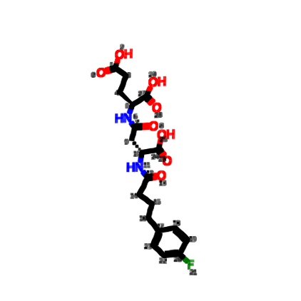 O=C(O)CC[C@H](NC(=O)C[C@@H](NC(=O)CCCc1ccc(F)cc1)C(=O)O)C(=O)O